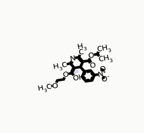 COCCO/C(O)=C1\C(C)=NC(C)=C(C(=O)OC(C)C)C1c1cccc([N+](=O)[O-])c1